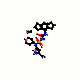 Cc1cc(N(C2CCOCC2)S(=O)(=O)NC(=O)Nc2c3c(cc4c2CCC4)CCC3)on1.[NaH]